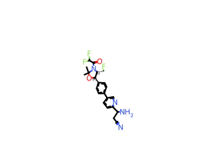 CC1(C)O[C@H](c2ccc(-c3ccc(C(N)CC#N)nc3)cc2)[C@@H](CF)N1C(=O)C(F)F